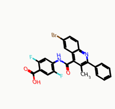 Cc1c(-c2ccccc2)nc2ccc(Br)cc2c1C(=O)Nc1cc(F)c(C(=O)O)cc1F